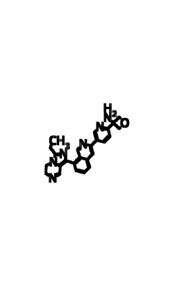 CCc1nc(-c2cccc3cc(-c4ccc(C5(N)COC5)nc4)ncc23)c2n1CCN=C2